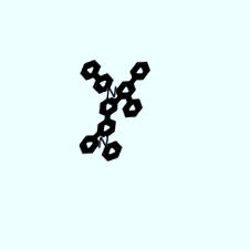 c1ccc(-c2ccc(-n3c4ccc(-c5ccc6c(c5)c5ccccc5n6-c5ccccc5)cc4c4c(-c5ccccc5)cc(-c5ccccc5)cc43)cc2)cc1